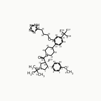 COc1ccc([C@@H]2CN(C(C)(C)C)C[C@@]2(F)C(=O)N2CCC(c3ccc(C(F)(F)F)cc3OCCCc3nnn[nH]3)CC2)cc1